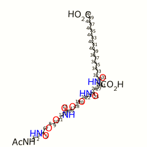 CC(=O)NCCNC(=O)COCCOCCNC(=O)COCCOCCNC(=O)CC[C@H](NC(=O)CCCCCCCCCCCCCCCCCCC(=O)O)C(=O)O